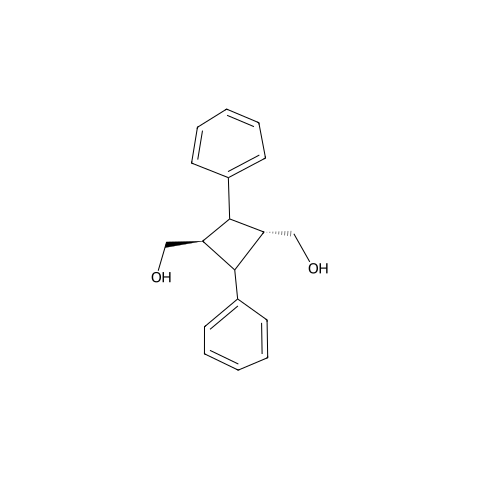 OC[C@H]1C(c2ccccc2)[C@H](CO)C1c1ccccc1